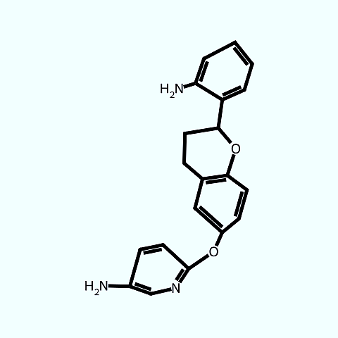 Nc1ccc(Oc2ccc3c(c2)CCC(c2ccccc2N)O3)nc1